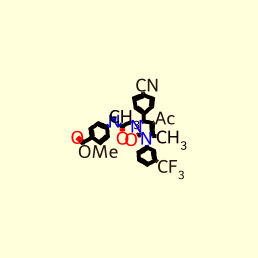 COC(=O)c1ccc(N(C)C(=O)CN2C(=O)N(c3cccc(C(F)(F)F)c3)C(C)=C(C(C)=O)C2c2ccc(C#N)cc2)cc1